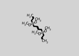 C=CC[Si](CC=CC[Si](CC=C)(OC)OC)(OC)OC